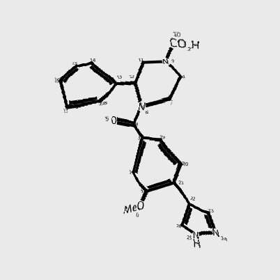 COc1cc(C(=O)N2CCN(C(=O)O)CC2c2ccccc2)ccc1-c1cn[nH]c1